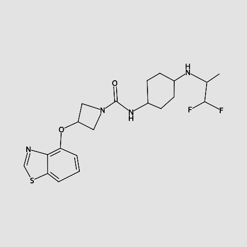 CC(NC1CCC(NC(=O)N2CC(Oc3cccc4scnc34)C2)CC1)C(F)F